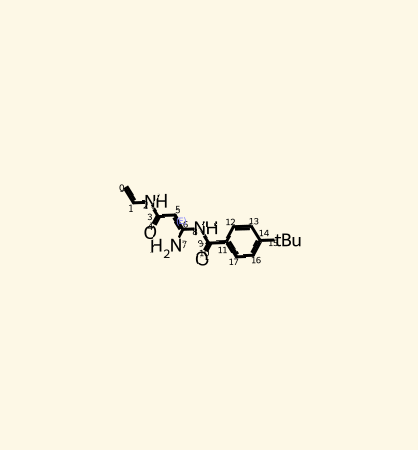 C=CNC(=O)/C=C(\N)NC(=O)c1ccc(C(C)(C)C)cc1